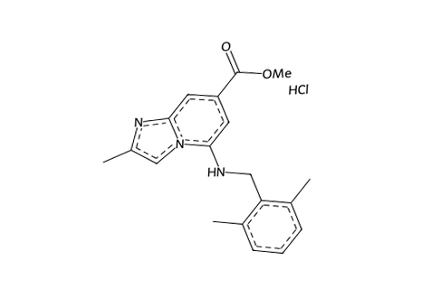 COC(=O)c1cc(NCc2c(C)cccc2C)n2cc(C)nc2c1.Cl